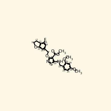 COC(=O)c1c(OCc2cc(F)c3c(c2)OCC3)nsc1NCc1ccc(OC)cc1OC